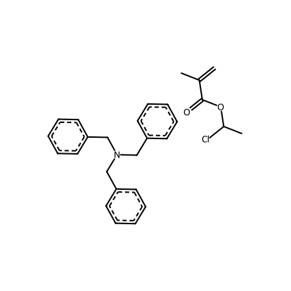 C=C(C)C(=O)OC(C)Cl.c1ccc(CN(Cc2ccccc2)Cc2ccccc2)cc1